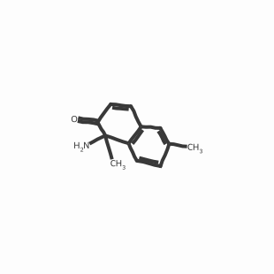 Cc1ccc2c(c1)C=CC(=O)C2(C)N